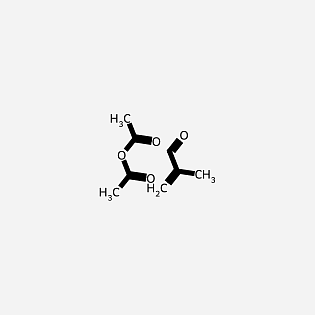 C=C(C)C=O.CC(=O)OC(C)=O